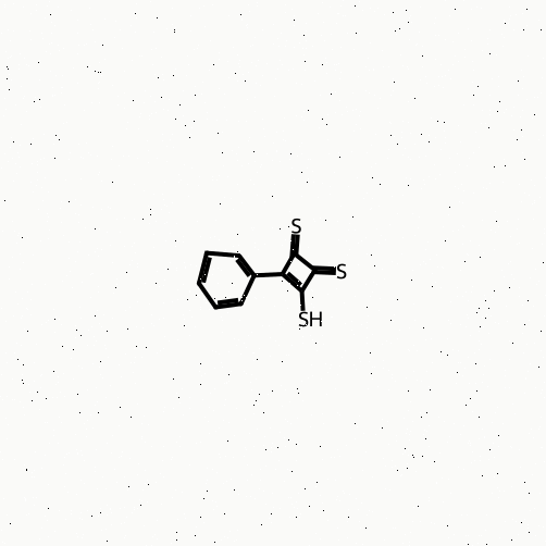 S=c1c(S)c(-c2ccccc2)c1=S